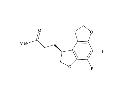 CNC(=O)CC[C@@H]1COc2c(F)c(F)c3c(c21)CCO3